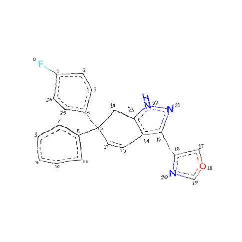 Fc1ccc(C2(c3ccccc3)C=Cc3c(-c4cocn4)n[nH]c3C2)cc1